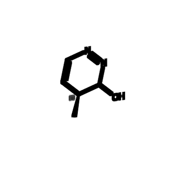 C[C@H]1C=CN=NC1O